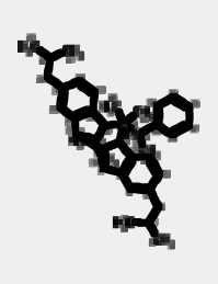 CC1=Cc2cc(CC(C)C)ccc2[CH]1[Zr]([CH3])([CH3])([CH]1C(C)=Cc2cc(CC(C)C)ccc21)[SiH](C)c1ccccc1